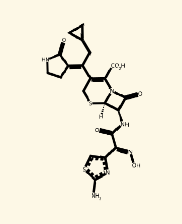 Nc1nc(C(=NO)C(=O)N[C@@H]2C(=O)N3C(C(=O)O)=C(C(CC4CC4)=C4CCNC4=O)CS[C@H]23)cs1